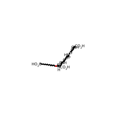 O=C(O)CCCCCCCCCCCCCCCCC(=O)N[C@H](CCC(=O)NCCOCCOCC(=O)NCCOCCOCC(=O)NCC(=O)O)C(=O)O